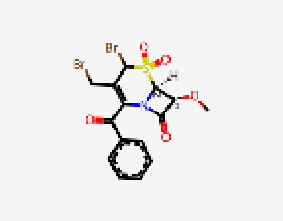 CO[C@H]1C(=O)N2C(C(=O)c3ccccc3)=C(CBr)C(Br)S(=O)(=O)[C@@H]12